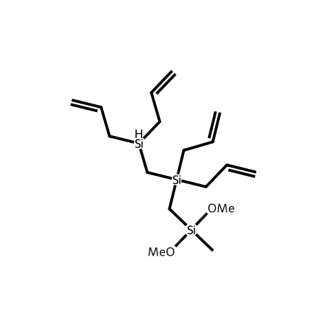 C=CC[SiH](CC=C)C[Si](CC=C)(CC=C)C[Si](C)(OC)OC